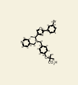 C[C@@H](c1coc(-c2cccc(Br)c2)n1)N(Cc1ccncc1)Cc1ccc(OC(C)(C)C(=O)O)cc1